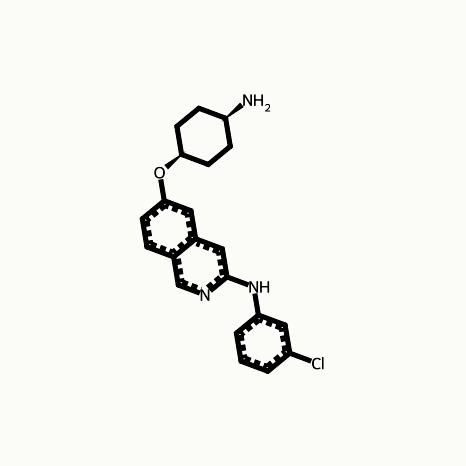 N[C@H]1CC[C@@H](Oc2ccc3cnc(Nc4cccc(Cl)c4)cc3c2)CC1